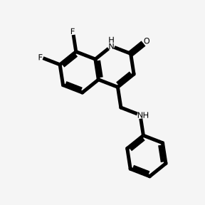 O=c1cc(CNc2ccccc2)c2ccc(F)c(F)c2[nH]1